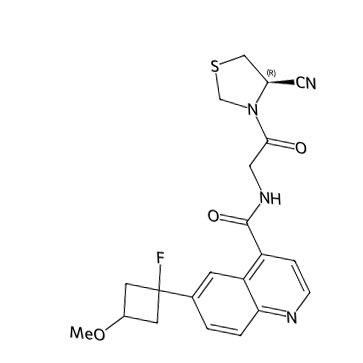 COC1CC(F)(c2ccc3nccc(C(=O)NCC(=O)N4CSC[C@H]4C#N)c3c2)C1